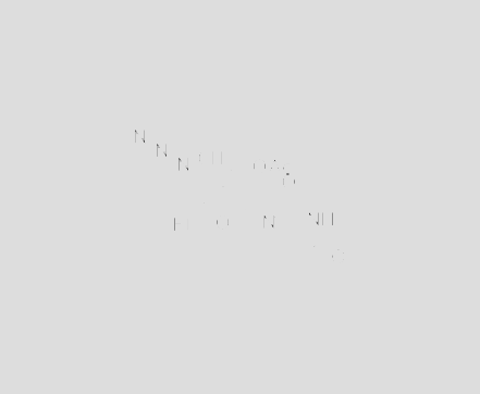 CC[C@@]1(CN=[N+]=[N-])O[C@@H](n2ccc(=O)[nH]c2=O)C(OC(C)=O)[C@H]1C